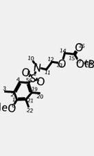 COc1c(C)cc(S(=O)(=O)N(C)CCOCC(=O)OC(C)(C)C)c(C)c1C